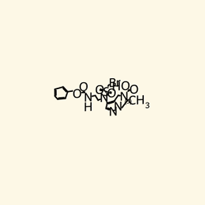 C[C@H]1Cn2ncc(N(CCNC(=O)OCc3ccccc3)S(=O)(=O)CBr)c2CN1C(=O)O